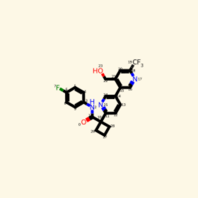 O=C(Nc1ccc(F)cc1)C1(c2ccc(-c3cnc(C(F)(F)F)cc3CO)cn2)CCC1